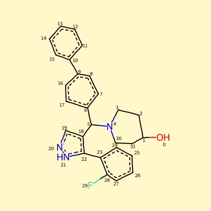 OC1CCN(C(c2ccc(-c3ccccc3)cc2)c2cn[nH]c2-c2ccccc2F)CC1